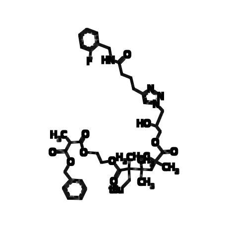 CC(C(=O)OCCOC(=O)C(C)(CC(C)(C)C)C(C)(C)CC(C)(C)C(=O)OCC(O)Cn1cc(CCCC(=O)NCc2ccccc2F)nn1)C(=O)OCc1ccccc1